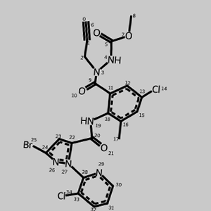 C#CCN(NC(=O)OC)C(=O)c1cc(Cl)cc(C)c1NC(=O)c1cc(Br)nn1-c1ncccc1Cl